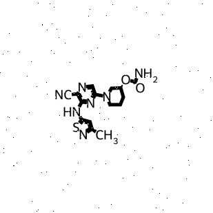 Cc1cc(Nc2nc(N3CCC[C@@H](OC(N)=O)C3)cnc2C#N)sn1